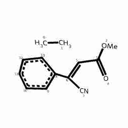 CC.COC(=O)C=C(C#N)c1ccccc1